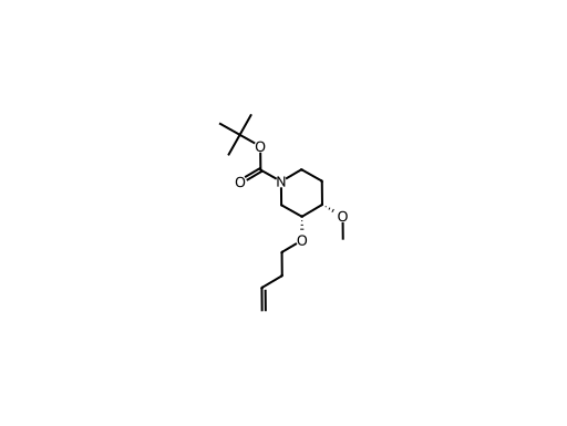 C=CCCO[C@@H]1CN(C(=O)OC(C)(C)C)CC[C@@H]1OC